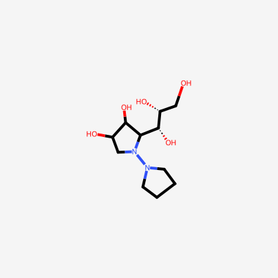 OC[C@@H](O)[C@H](O)C1C(O)C(O)CN1N1CCCC1